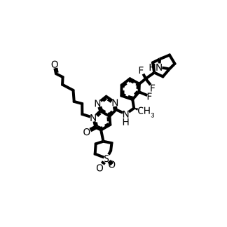 C[C@@H](Nc1ncnc2c1cc(C1CCS(=O)(=O)CC1)c(=O)n2CCCCCCC=O)c1cccc(C(F)(F)C2CC3CCC(C2)N3)c1F